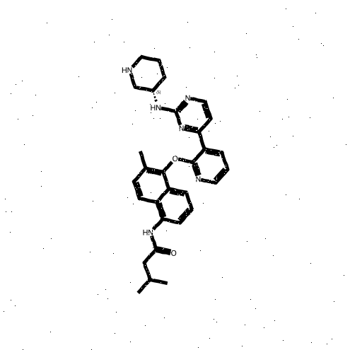 Cc1ccc2c(NC(=O)CC(C)C)cccc2c1Oc1ncccc1-c1ccnc(N[C@H]2CCCNC2)n1